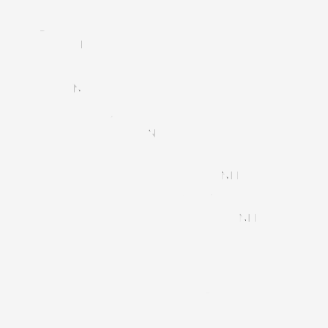 Cc1ccc(F)c2cc(C(=O)Nc3cccc(N4CCC5(CCN(CC(F)F)CC5)C4)c3)[nH]c12